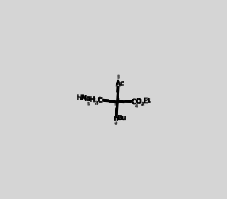 CCCCC(C)(C(C)=O)C(=O)OCC.[NaH]